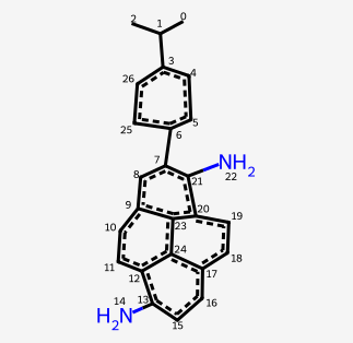 CC(C)c1ccc(-c2cc3ccc4c(N)ccc5ccc(c2N)c3c54)cc1